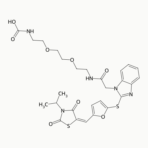 CC(C)N1C(=O)SC(=Cc2ccc(Sc3nc4ccccc4n3CC(=O)NCCOCCOCCNC(=O)O)o2)C1=O